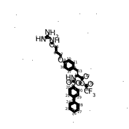 N=C(N)NOCCCOc1ccc(C[C@H](NS(=O)(=O)c2ccc(-c3ccccc3)cc2)C(=O)OC(=O)C(F)(F)F)cc1